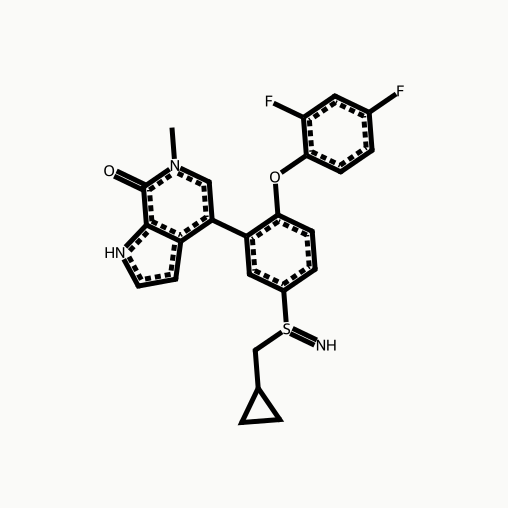 Cn1cc(-c2cc(S(=N)CC3CC3)ccc2Oc2ccc(F)cc2F)c2cc[nH]c2c1=O